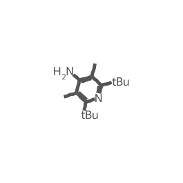 Cc1c(C(C)(C)C)nc(C(C)(C)C)c(C)c1N